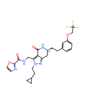 O=C(NCc1c2c(nn1CCC1CC1)C[C@H](CCc1cccc(OCC(F)(F)F)c1)NC2=O)c1ncco1